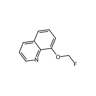 FCOc1cccc2cccnc12